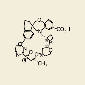 C[C@H](CS(=O)(=O)c1ncccn1)O[C@@H]1CCO[C@H]([C@@H]2CC[C@H]2CN2CC3(CCCc4cc(Cl)ccc43)COc3ccc(C(=O)O)cc32)C1